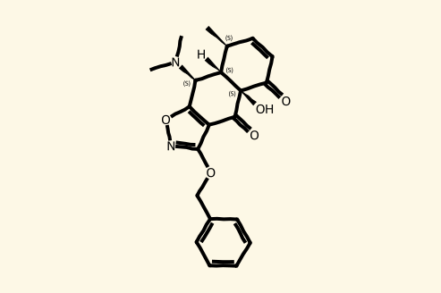 C[C@H]1C=CC(=O)[C@]2(O)C(=O)c3c(OCc4ccccc4)noc3[C@@H](N(C)C)[C@H]12